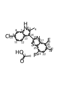 CC(=O)O.Cc1[nH]c2cc(Cl)ccc2c1-c1nc2c(F)c(F)cc(F)c2s1